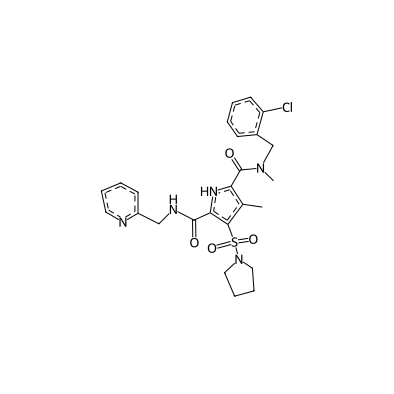 Cc1c(C(=O)N(C)Cc2ccccc2Cl)[nH]c(C(=O)NCc2ccccn2)c1S(=O)(=O)N1CCCC1